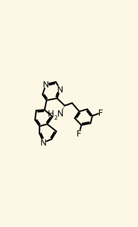 N[C@@H](Cc1cc(F)cc(F)c1)c1ncncc1-c1ccc2cnccc2c1